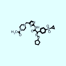 CC(=O)N1CCN(Cc2cnc(NC(=O)/C(=N/OC3CCCC3)c3ccc(S(=O)(=O)C4CC4)cc3)s2)CC1